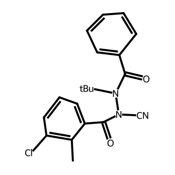 Cc1c(Cl)cccc1C(=O)N(C#N)N(C(=O)c1ccccc1)C(C)(C)C